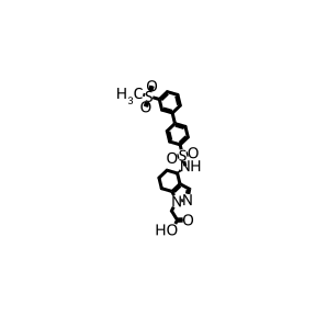 CS(=O)(=O)c1cccc(-c2ccc(S(=O)(=O)N[C@@H]3CCCc4c3cnn4CC(=O)O)cc2)c1